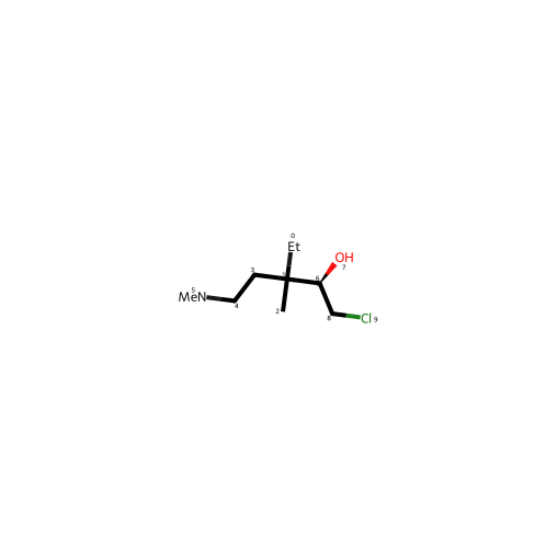 CCC(C)(CCNC)[C@@H](O)CCl